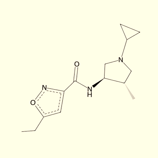 CCc1cc(C(=O)N[C@H]2CN(C3CC3)C[C@@H]2C)no1